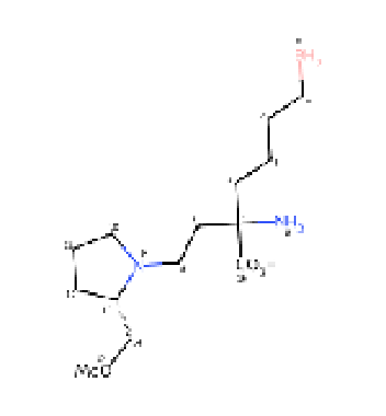 BCCCCC(N)(CCN1CCC[C@H]1COC)C(=O)O